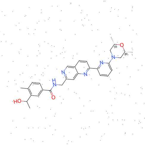 Cc1ccc(C(=O)NCc2cc3nc(-c4cccc(N5C[C@@H](C)O[C@@H](C)C5)n4)ccc3cn2)cc1C(C)O